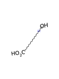 O=C(O)CCCCCCCCCCCCCCC/C=C/CCO